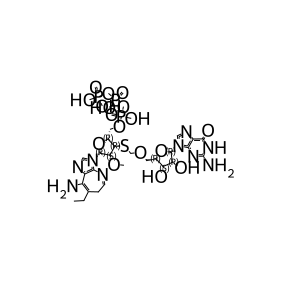 CCC1=C(N)c2ncn([C@@H]3O[C@H](COP(=O)(O)OP(=O)(O)OP(=O)(O)O)[C@@H](SCOC[C@H]4O[C@@H](n5cnc6c(=O)[nH]c(N)nc65)[C@H](O)[C@@H]4O)[C@H]3OC)c2N=CC1